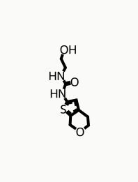 O=C(NCCO)Nc1cc2c(s1)COCC2